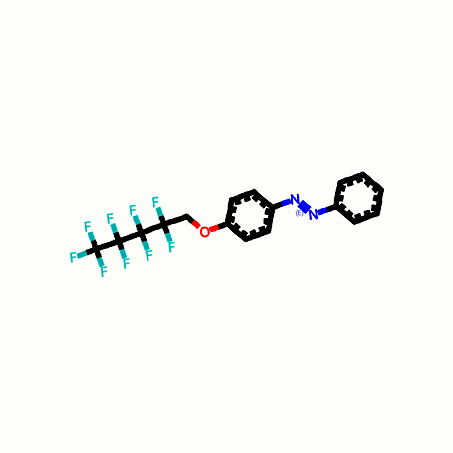 FC(F)(F)C(F)(F)C(F)(F)C(F)(F)COc1ccc(/N=N/c2ccccc2)cc1